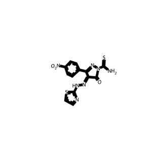 NC(=S)N1N=C(c2ccc([N+](=O)[O-])cc2)/C(=N\Nc2nccs2)C1=O